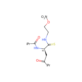 CC(C)C(=O)C[C@@H](NC(=O)C(C)C)C(=S)NCCO[N+](=O)[O-]